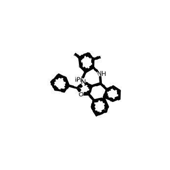 Cc1cc(C)c(NC(c2ccccc2)c2nc(-c3ccccc3)oc2-c2ccccc2)c(C(C)C)c1